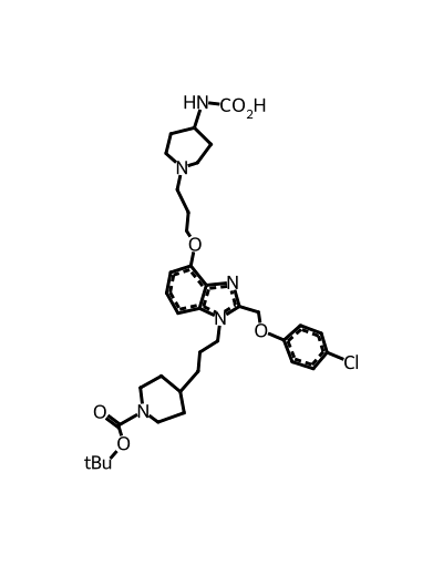 CC(C)(C)OC(=O)N1CCC(CCCn2c(COc3ccc(Cl)cc3)nc3c(OCCCN4CCC(NC(=O)O)CC4)cccc32)CC1